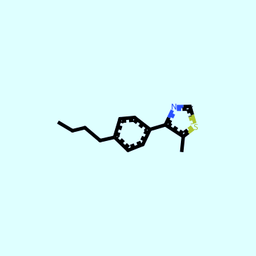 CCCCc1ccc(-c2n[c]sc2C)cc1